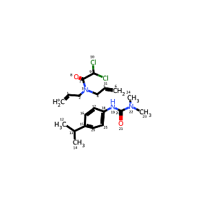 C=CCN(CC=C)C(=O)C(Cl)Cl.CC(C)c1ccc(NC(=O)N(C)C)cc1